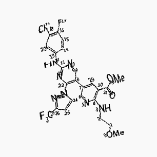 COCCNc1ncc(-c2cnc(Nc3ccc(F)c(Cl)c3)nc2-n2ccc(C(F)(F)F)n2)cc1C(=O)OC